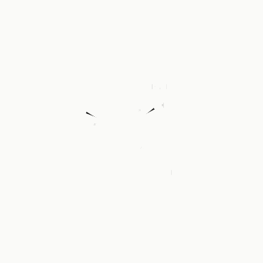 CC(C)[C@@H]1CC[C@@H](C)C[C@H]1O.[BaH2]